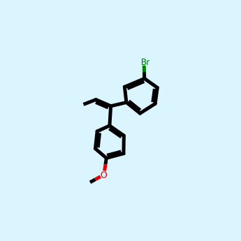 C/C=C(\c1ccc(OC)cc1)c1cccc(Br)c1